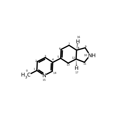 Cc1ccc(C2=CC[C@H]3CNC[C@H]3C2)cn1